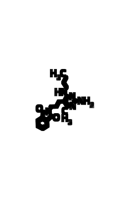 CCCCNc1nc(N)nc(C)c1CCCN1C(=O)c2ccccc2C1=O